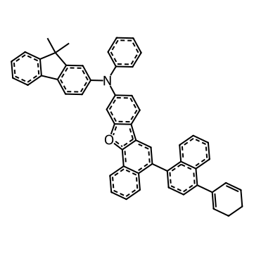 CC1(C)c2ccccc2-c2ccc(N(c3ccccc3)c3ccc4c(c3)oc3c5ccccc5c(-c5ccc(C6=CCCC=C6)c6ccccc56)cc43)cc21